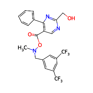 CN(Cc1cc(C(F)(F)F)cc(C(F)(F)F)c1)OC(=O)c1cnc(CO)nc1-c1ccccc1